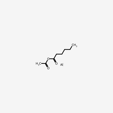 CCCCCC(=O)OC(C)=O.[Al]